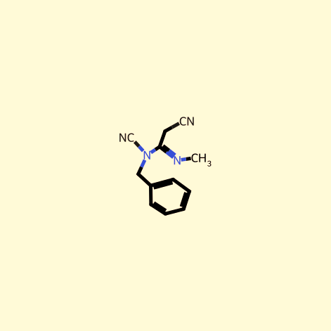 CN=C(CC#N)N(C#N)Cc1ccccc1